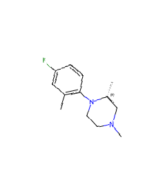 Cc1cc(F)ccc1N1CCN(C)C[C@H]1C